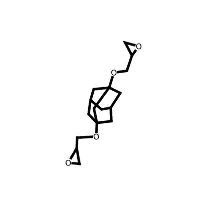 C1C2CC3(OCC4CO4)CC1CC(OCC1CO1)(C2)C3